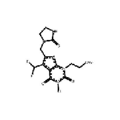 CCn1c(=O)c2c(C(F)F)c(CN3CCNC3=S)sc2n(CCOC)c1=O